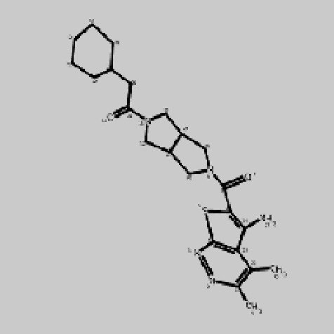 Cc1nnc2sc(C(=O)N3CC4CN(C(=O)CC5CCCCC5)CC4C3)c(N)c2c1C